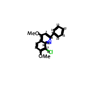 COc1ccc2c(OC)cc(-c3ccccc3)nc2c1Cl